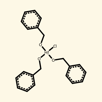 [Cl][Hf]([O]Cc1ccccc1)([O]Cc1ccccc1)[O]Cc1ccccc1